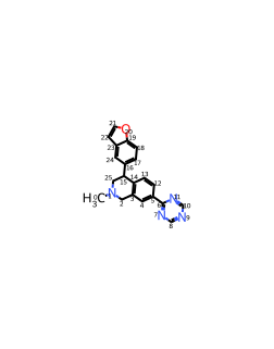 CN1Cc2cc(-c3ncncn3)ccc2C(c2ccc3occc3c2)C1